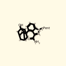 CCCCCn1nc(C(N)=O)c2c(C34CC5CC(CC(O)(C5)C3)C4)cccc21